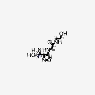 N/C(=N\O)c1nonc1NCC(=O)NCCO